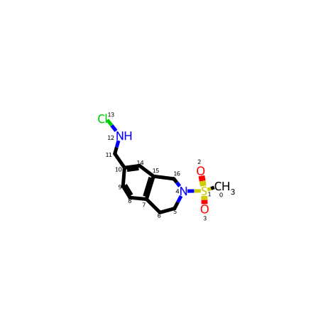 CS(=O)(=O)N1CCc2ccc(CNCl)cc2C1